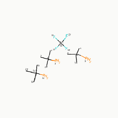 CC(C)(C)P.CC(C)(C)P.CC(C)(C)P.F[B-](F)(F)F